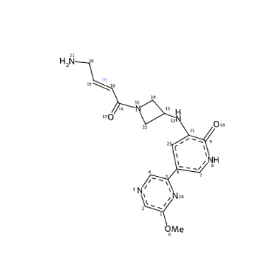 COc1cncc(-c2c[nH]c(=O)c(NC3CN(C(=O)/C=C/CN)C3)c2)n1